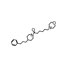 O=C(CCCCCN1CCOCC1)N1CCC(CCCc2ccccc2)CC1